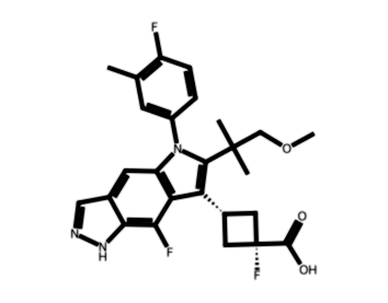 COCC(C)(C)c1c([C@H]2C[C@](F)(C(=O)O)C2)c2c(F)c3[nH]ncc3cc2n1-c1ccc(F)c(C)c1